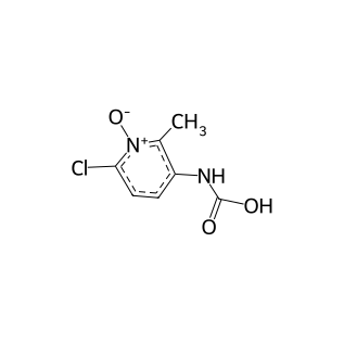 Cc1c(NC(=O)O)ccc(Cl)[n+]1[O-]